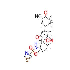 CC1(C)C(=O)C(C#N)=C[C@]2(C)C3=CC(=O)[C@]4(O)[C@@H]5C[C@@](C)(NS(=O)(=O)c6cscn6)CC[C@]5(C)CC[C@@]4(C)[C@]3(C)CC[C@@H]12